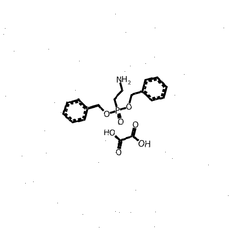 NCCP(=O)(OCc1ccccc1)OCc1ccccc1.O=C(O)C(=O)O